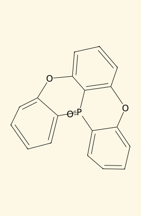 O=P12c3ccccc3Oc3cccc(c31)Oc1ccccc12